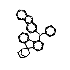 c1ccc(N(c2ccc3c(c2)sc2ccccc23)c2cccc3c2-c2ccccc2C32CC3CCC2C3)cc1